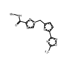 CC(C)(C)NC(=O)c1ncn(Cc2ccc(-c3noc(C(F)(F)F)n3)s2)n1